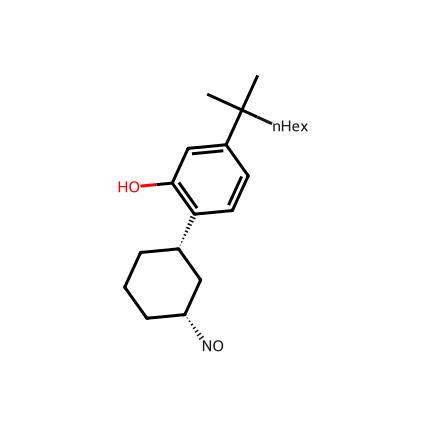 CCCCCCC(C)(C)c1ccc([C@H]2CCC[C@@H](N=O)C2)c(O)c1